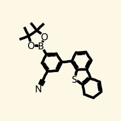 CC1(C)OB(c2cc(C#N)cc(-c3cccc4c5c(sc34)CCC=C5)c2)OC1(C)C